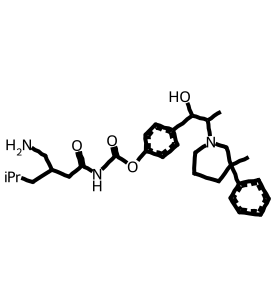 CC(C)CC(CN)CC(=O)NC(=O)Oc1ccc(C(O)C(C)N2CCCC(C)(c3ccccc3)C2)cc1